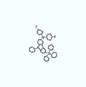 Fc1ccc(N(c2ccc(F)cc2)c2ccc3c(c2)c2cc([Si](c4ccccc4)(c4ccccc4)c4ccccc4)ccc2n3-c2ccccc2)cc1